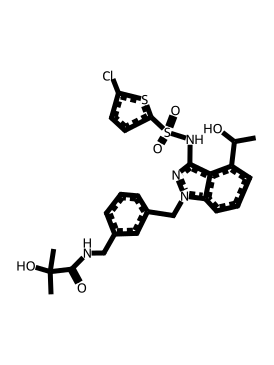 CC(O)c1cccc2c1c(NS(=O)(=O)c1ccc(Cl)s1)nn2Cc1cccc(CNC(=O)C(C)(C)O)c1